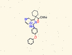 COC(=O)C1(C2=C3C=NC=C[N+]3(N)C(c3ccc(Oc4ccccc4)cc3)=N2)CCCCC1